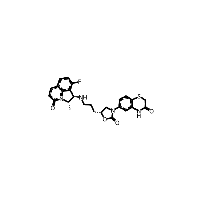 C[C@H]1[C@H](NCCC[C@@H]2CN(c3ccc4c(c3)NC(=O)CS4)C(=O)O2)c2c(F)ccc3ccc(=O)n1c23